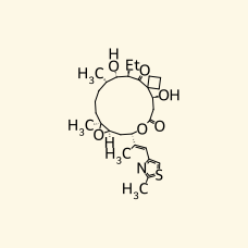 CC[C@H]1C(=O)C2(CCC2)[C@@H](O)CC(=O)O[C@H](C(C)=Cc2csc(C)n2)C[C@H]2O[C@@]2(C)CCC[C@H](C)[C@@H]1O